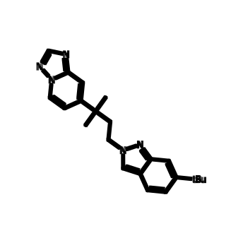 CC(C)(C)c1ccc2cn(CCC(C)(C)c3ccn4ncnc4c3)nc2c1